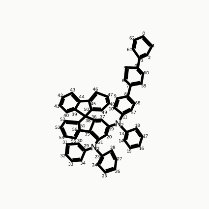 c1ccc(-c2ccc(-c3ccc(N(c4ccccc4)c4cc(N(c5ccccc5)c5ccccc5)c5c(c4)C4(c6ccccc6-c6ccccc64)c4ccccc4-5)cc3)cc2)cc1